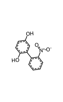 O=[N+]([O-])c1ccccc1-c1cc(O)ccc1O